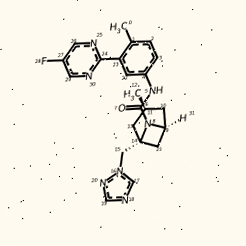 Cc1ccc(NC(=O)N2[C@H]3C[C@H](C)C[C@]2(Cn2cncn2)C3)cc1-c1ncc(F)cn1